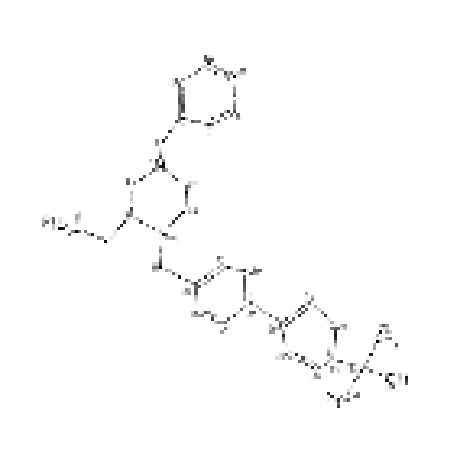 CCOC(=O)CC1CN(Cc2ccncc2)CCN1Cc1ccc(-c2ccc(C(O)(C(F)(F)F)C(F)(F)F)cc2)cc1